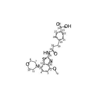 COc1ccc(N2CCOCC2)c2sc(NC(=O)CCc3ccc(C(=O)O)cc3)nc12